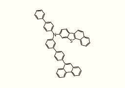 c1ccc(-c2ccc(N(c3cccc(-c4ccc(-c5cc6ccccc6c6ccccc56)cc4)c3)c3ccc4c(c3)sc3c5ccccc5ccc43)cc2)cc1